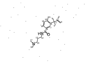 C=C(C)C(C)(C)c1cc(C(=O)NCCCN(C)C)ccc1C